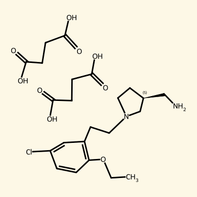 CCOc1ccc(Cl)cc1CCN1CC[C@@H](CN)C1.O=C(O)CCC(=O)O.O=C(O)CCC(=O)O